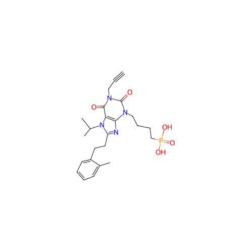 C#CCn1c(=O)c2c(nc(CCc3ccccc3C)n2C(C)C)n(CCCCP(=O)(O)O)c1=O